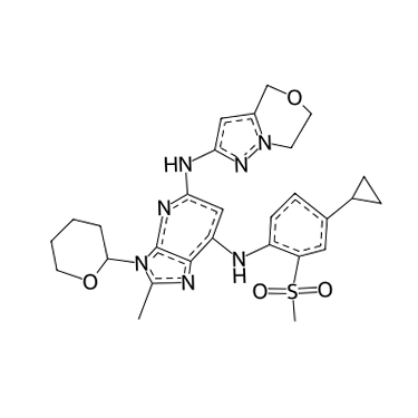 Cc1nc2c(Nc3ccc(C4CC4)cc3S(C)(=O)=O)cc(Nc3cc4n(n3)CCOC4)nc2n1C1CCCCO1